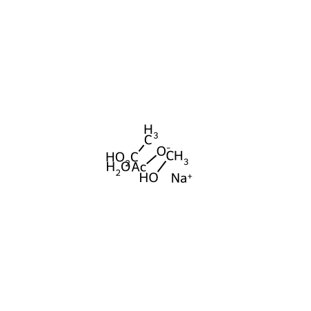 CC(=O)O.CC(=O)[O-].CO.O.[Na+]